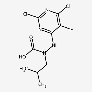 CC(C)CN(Nc1nc(Cl)nc(Cl)c1F)C(=O)O